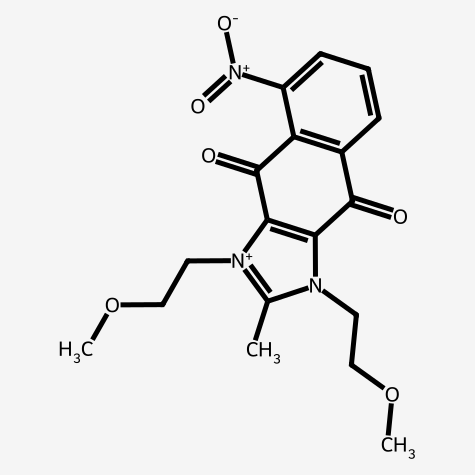 COCCn1c2c([n+](CCOC)c1C)C(=O)c1c(cccc1[N+](=O)[O-])C2=O